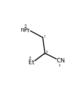 CCCC[C](C#N)CC